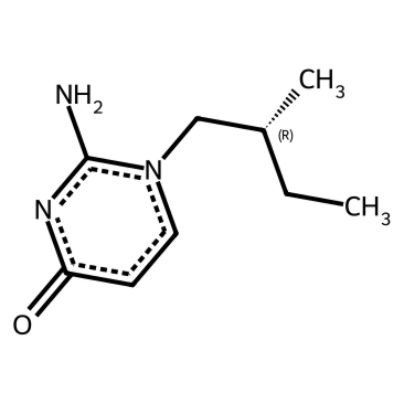 CC[C@@H](C)Cn1ccc(=O)nc1N